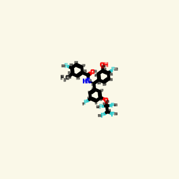 O=C(N[C@@H](c1cc(F)cc(OC(F)(F)C(F)F)c1)c1ccc(F)c(O)c1)c1ccc(F)c(C(F)(F)F)c1